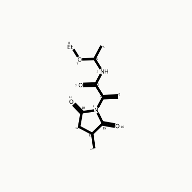 C=C(C(=O)NC(C)OCC)N1C(=O)CC(C)C1=O